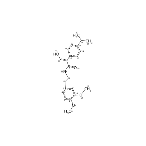 COc1ccc(CCNC(=O)C(=CO)c2ccc(C(C)C)cc2)cc1OC